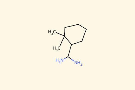 CC1(C)CCCCC1C(N)N